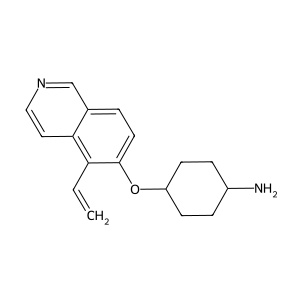 C=Cc1c(OC2CCC(N)CC2)ccc2cnccc12